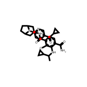 CC(Nc1c(C(N)=O)ccc(C(=O)NC2CC3CCC(C2)N3c2ccc(C(=O)C3CC3)cn2)c1Cl)C1CC1